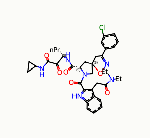 CCC[C@H](NC(=O)[C@@H]1C[C@]2(CC(c3cccc(Cl)c3)=NO2)CN1C(=O)c1[nH]c2ccccc2c1CC(=O)N(CC)CC)C(=O)C(=O)NC1CC1